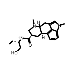 CC[C@@H](CO)NC(=O)[C@@H]1C[C@@H]2c3cccc4c3c(cn4C)C[C@H]2N(C)C1